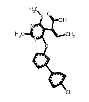 CC=C(C(=O)O)c1c(Oc2cccc(-c3ccc(Cl)cc3)c2)nc(C)nc1SC